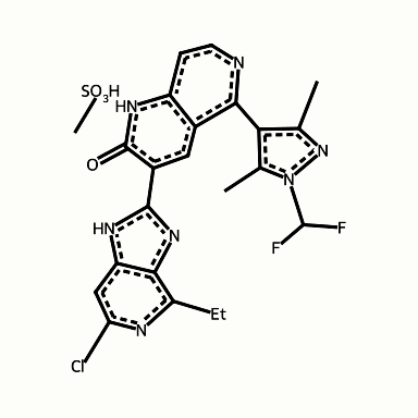 CCc1nc(Cl)cc2[nH]c(-c3cc4c(-c5c(C)nn(C(F)F)c5C)nccc4[nH]c3=O)nc12.CS(=O)(=O)O